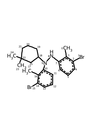 Cc1c(Br)cccc1NN(c1cccc(Br)c1C)C1CCCC(C)(C)C1